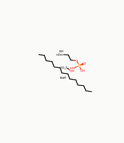 CCCCCCCCCCCCCC.CCCCCCCCCCCCOP(=O)(O)O.O=S(=O)(O)O.[KH].[NaH]